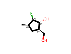 C[C@@H]1C[C@H](CO)[C@@H](O)[C@@H]1F